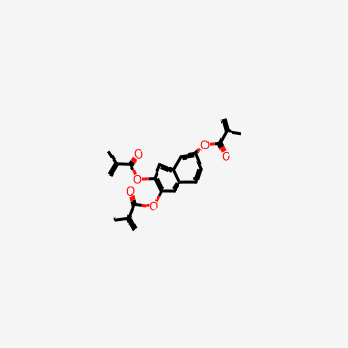 C=C(C)C(=O)Oc1ccc2cc(OC(=O)C(=C)C)c(OC(=O)C(=C)C)cc2c1